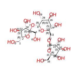 OC[C@H]1O[C@@](CO)(O[C@H]2O[C@H](CO[C@@H]3O[C@H](CO)[C@@H](O)[C@H](O)[C@H]3O)[C@@H](O)[C@H](O)[C@H]2O)[C@@H](O)[C@@H]1O